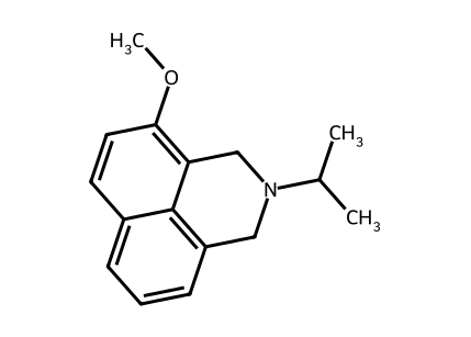 COc1ccc2cccc3c2c1CN(C(C)C)C3